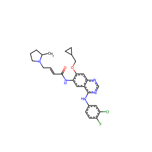 CC1CCCN1CC=CC(=O)Nc1cc2c(Nc3ccc(F)c(Cl)c3)ncnc2cc1OCC1CC1